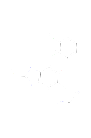 CSc1nc2cc(Cl)c(Oc3cccc(Cl)c3Cl)cc2[nH]1.N#CCN